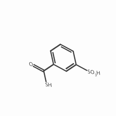 O=C(S)c1cccc(S(=O)(=O)O)c1